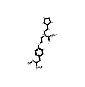 CCOC(Cc1ccc(OCCN(CCC2CCCC2)C(=O)OC)cc1)C(=O)O